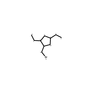 CCC1CC(CC)C(CBr)C1